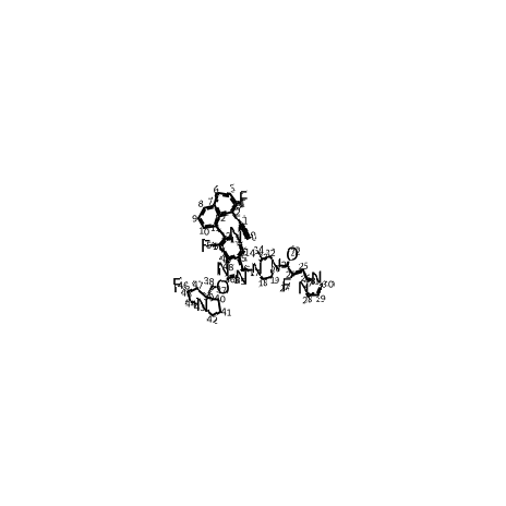 C#Cc1c(F)ccc2cccc(-c3ncc4c(N5CCN(C(=O)/C(F)=C/c6ncccn6)C[C@@H]5C)nc(OC[C@@]56CCCN5C[C@H](F)C6)nc4c3F)c12